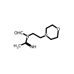 CC(=N)N(C=O)CCN1CCOCC1